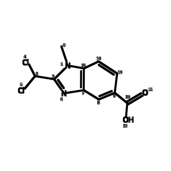 Cn1c(C(Cl)Cl)nc2cc(C(=O)O)ccc21